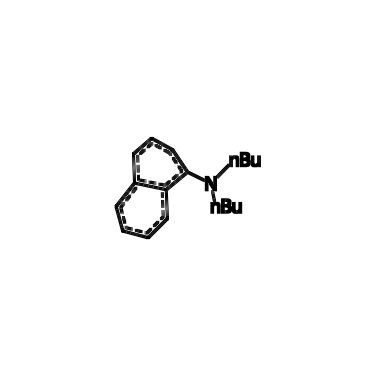 CCCCN(CCCC)c1cccc2ccccc12